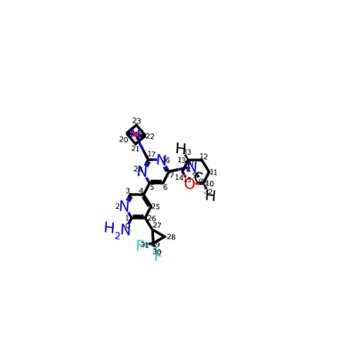 Nc1ncc(-c2cc(N3C[C@@H]4CC[C@H]3CO4)nc(N3CC4CC3C4)n2)cc1C1CC1(F)F